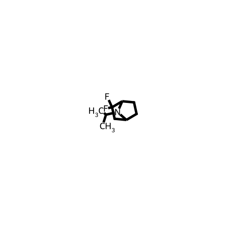 CC(C)N1C2CCC1C(F)(F)C2